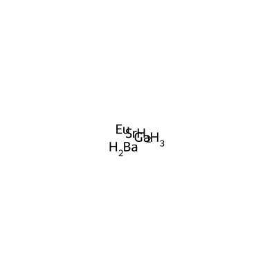 [BaH2].[Eu].[GaH3].[SrH2]